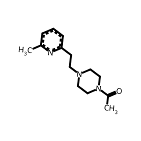 CC(=O)N1CCN(CCc2cccc(C)n2)CC1